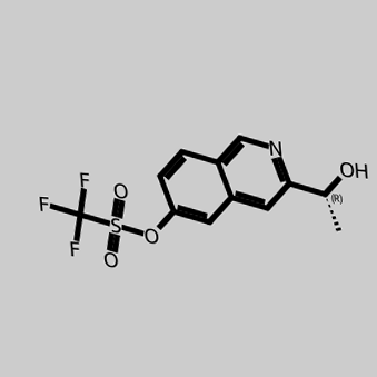 C[C@@H](O)c1cc2cc(OS(=O)(=O)C(F)(F)F)ccc2cn1